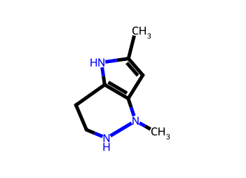 Cc1cc2c([nH]1)CCNN2C